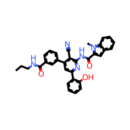 CCCNC(=O)c1cccc(-c2cc(-c3ccccc3O)nc(NC(=O)c3cc4ccccc4n3C)c2C#N)c1